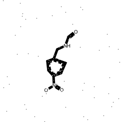 O=[C]NCc1ccc([N+](=O)[O-])cc1